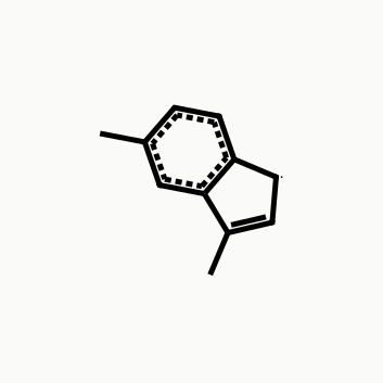 CC1=C[CH]c2ccc(C)cc21